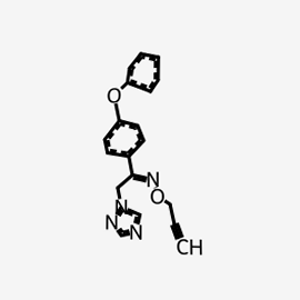 C#CCON=C(Cn1cncn1)c1ccc(Oc2ccccc2)cc1